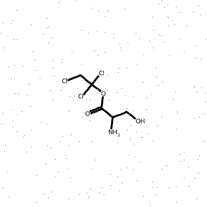 NC(CO)C(=O)OC(Cl)(Cl)CCl